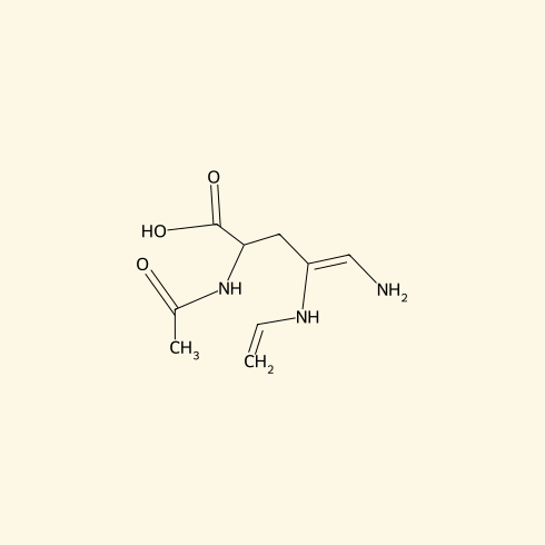 C=CN/C(=C\N)CC(NC(C)=O)C(=O)O